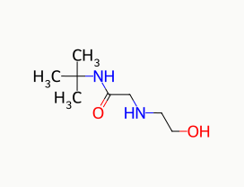 CC(C)(C)NC(=O)CNCCO